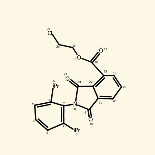 CC(C)c1cccc(C(C)C)c1N1C(=O)c2cccc(C(=O)OCCCl)c2C1=O